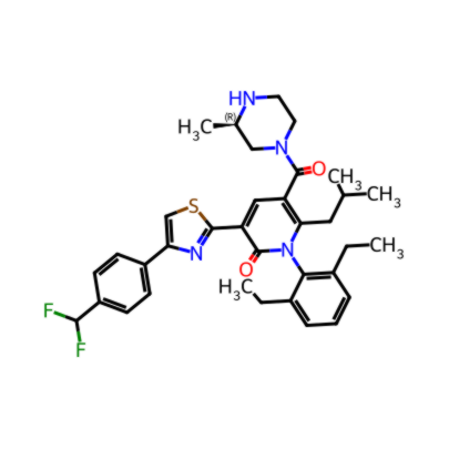 CCc1cccc(CC)c1-n1c(CC(C)C)c(C(=O)N2CCN[C@H](C)C2)cc(-c2nc(-c3ccc(C(F)F)cc3)cs2)c1=O